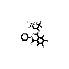 O=C(OC1CCCCC1)c1c(I)c(I)c(I)c(I)c1C(=O)OC(CS(=O)(=O)O)C(F)(F)F